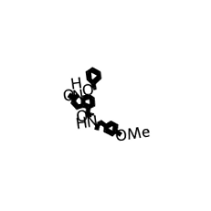 COc1ccc(CC(C)NCC(=O)c2ccc(OCc3ccccc3)c3[nH]c(=O)ccc23)cc1